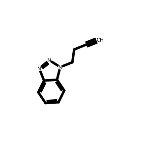 C#CCCn1nnc2ccccc21